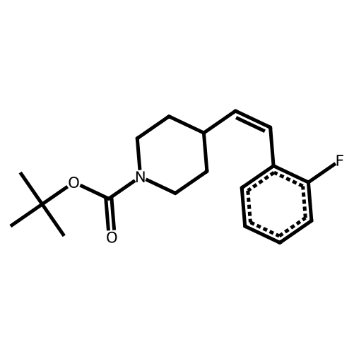 CC(C)(C)OC(=O)N1CCC(/C=C\c2ccccc2F)CC1